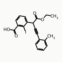 CCOC(=O)C(C#Cc1ccccc1C)c1cccc(C(=O)O)c1I